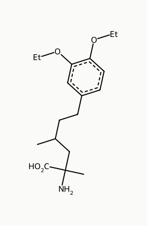 CCOc1ccc(CCC(C)CC(C)(N)C(=O)O)cc1OCC